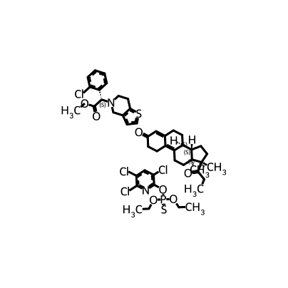 CCC(=O)[C@@]1(C)CC[C@H]2[C@@H]3CCC4=CC(=O)CCC4=C3CC[C@@]21C.CCOP(=S)(OCC)Oc1nc(Cl)c(Cl)cc1Cl.COC(=O)[C@H](c1ccccc1Cl)N1CCc2sccc2C1